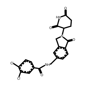 O=C1CCC(N2Cc3cc(CNC(=O)c4ccc(Cl)c(Cl)c4)ccc3C2=O)C(=O)N1